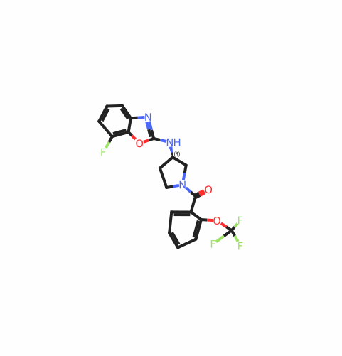 O=C(c1ccccc1OC(F)(F)F)N1CC[C@@H](Nc2nc3cccc(F)c3o2)C1